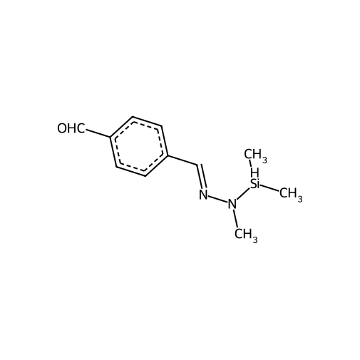 CN(N=Cc1ccc(C=O)cc1)[SiH](C)C